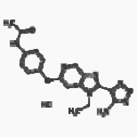 CCn1c(-c2nonc2N)nc2cnc(Oc3ccc(NC(C)=O)cc3)cc21.Cl